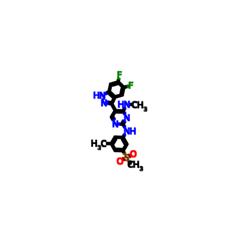 CNc1nc(Nc2cc(C)cc(S(C)(=O)=O)c2)ncc1-c1n[nH]c2cc(F)c(F)cc12